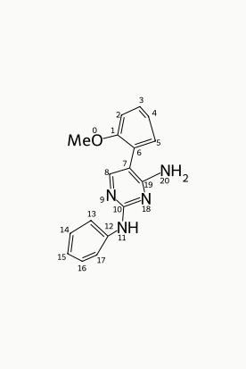 COc1ccccc1-c1cnc(Nc2ccccc2)nc1N